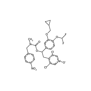 CN(Cc1ccc([N+](=O)[O-])cc1)C(=O)OC(Cc1c(Cl)c[n+]([O-])cc1Cl)c1ccc(OC(F)F)c(OCC2CC2)c1